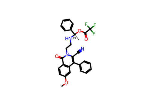 COc1ccc2c(=O)n(CCN[C@](C)(OC(=O)C(F)(F)F)c3ccccc3)c(C#N)c(-c3ccccc3)c2c1